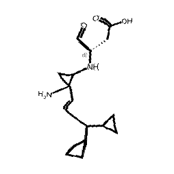 NC1(C=CC(C2CC2)C2CC2)CC1N[C@H](C=O)CC(=O)O